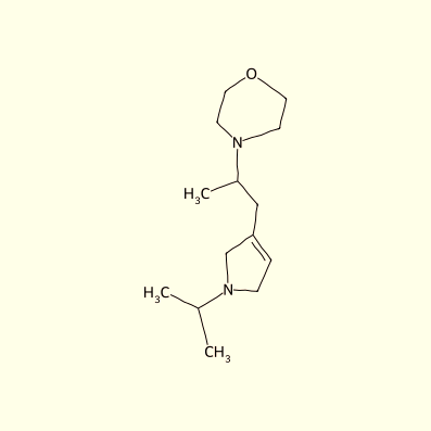 CC(C)N1CC=C(CC(C)N2CCOCC2)C1